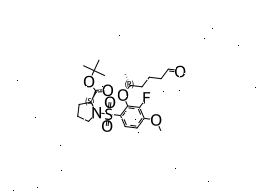 COc1ccc(S(=O)(=O)N2CCC[C@H]2C(=O)OC(C)(C)C)c(O[C@H](C)CCCC=O)c1F